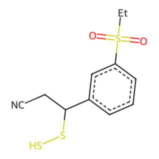 CCS(=O)(=O)c1cccc(C(CC#N)SS)c1